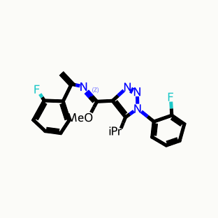 C=C(/N=C(\OC)c1nnn(-c2ccccc2F)c1C(C)C)c1ccccc1F